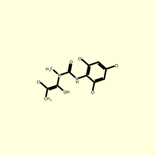 CC(Cl)=C(O)N(C)C(=O)Nc1c(Cl)cc(Cl)cc1Cl